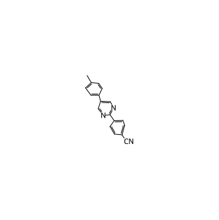 Cc1ccc(-c2cnc(-c3ccc(C#N)cc3)nc2)cc1